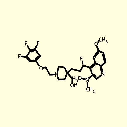 COc1ccc2ncc(N(C)C)c([C@H](F)CCC3(CO)CCN(CCOc4cc(F)c(F)c(F)c4)CC3)c2c1